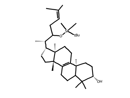 CC(C)=CCC(O[Si](C)(C)C(C)(C)C)[C@@H](C)[C@H]1CC[C@@]2(C)C3=C(CC[C@]12C)[C@@]1(C)CC[C@H](O)C(C)(C)C1CC3